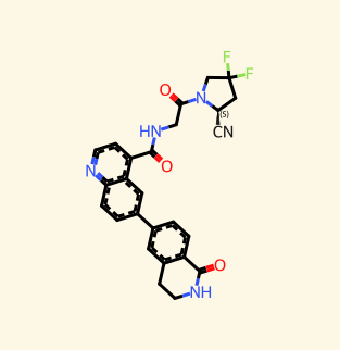 N#C[C@@H]1CC(F)(F)CN1C(=O)CNC(=O)c1ccnc2ccc(-c3ccc4c(c3)CCNC4=O)cc12